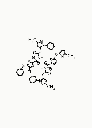 Cc1cc(CC(=O)NS(=O)(=O)c2cc(Cl)c(Sc3ccccc3)s2)n(-c2ccccc2)n1.Cc1csc(Sc2ccc(S(=O)(=O)NC(=O)Cc3cc(C)nn3-c3ccccc3)s2)n1